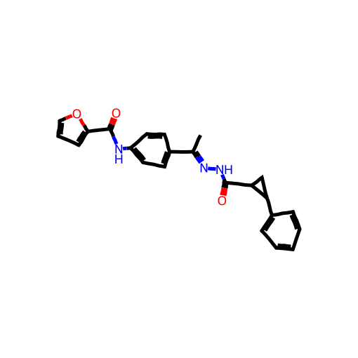 C/C(=N\NC(=O)C1CC1c1ccccc1)c1ccc(NC(=O)c2ccco2)cc1